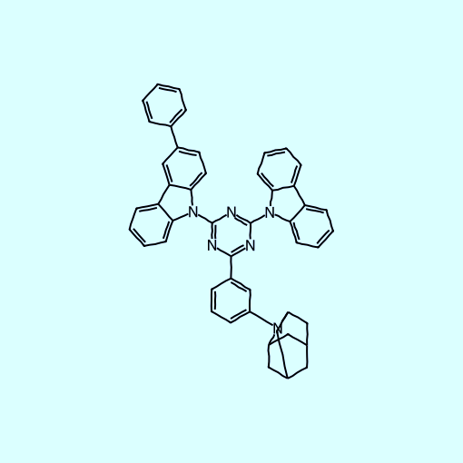 c1ccc(-c2ccc3c(c2)c2ccccc2n3-c2nc(-c3cccc(N4C5CC6CC(C5)CC4C6)c3)nc(-n3c4ccccc4c4ccccc43)n2)cc1